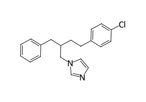 Clc1ccc(CCC(Cc2ccccc2)Cn2ccnc2)cc1